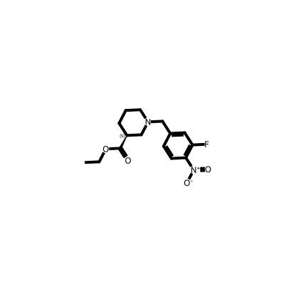 CCOC(=O)[C@H]1CCCN(Cc2ccc([N+](=O)[O-])c(F)c2)C1